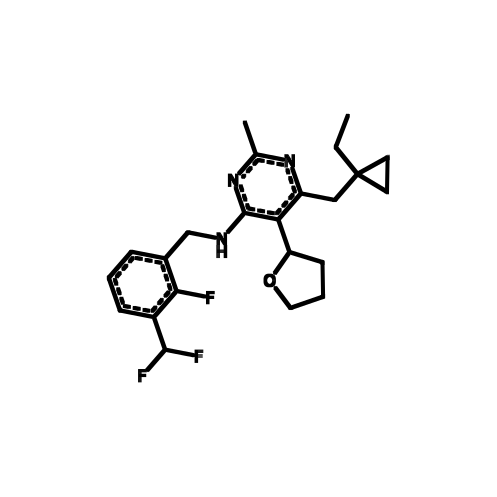 CCC1(Cc2nc(C)nc(NCc3cccc(C(F)F)c3F)c2C2CCCO2)CC1